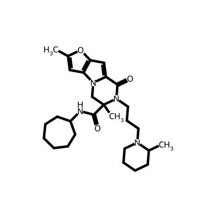 Cc1cc2c(cc3n2CC(C)(C(=O)NC2CCCCCC2)N(CCCN2CCCCC2C)C3=O)o1